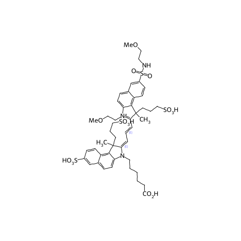 COCCNS(=O)(=O)c1ccc2c3c(ccc2c1)[N+](CCOC)=C(/C=C/C=C1/N(CCCCCC(=O)O)c2ccc4cc(S(=O)(=O)O)ccc4c2C1(C)CCCS(=O)(=O)O)C3(C)CCCS(=O)(=O)O